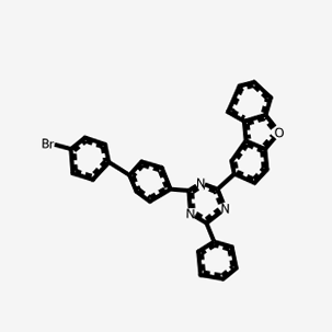 Brc1ccc(-c2ccc(-c3nc(-c4ccccc4)nc(-c4ccc5oc6ccccc6c5c4)n3)cc2)cc1